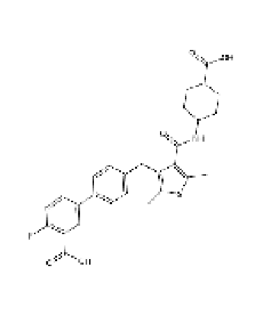 Cc1sc(C)c(C(=O)NC2CCC(C(=O)O)CC2)c1Cc1ccc(-c2ccc(F)c(C(=O)O)c2)cc1